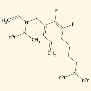 C=C/C=C(CN(C=C)N(C)CCC)\C(F)=C(\F)CCCCN(CCC)CCC